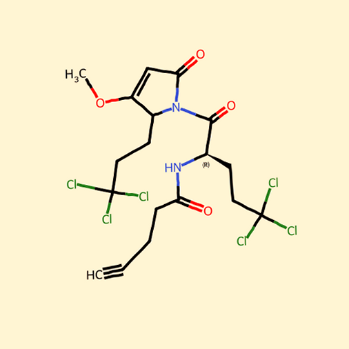 C#CCCC(=O)N[C@H](CCC(Cl)(Cl)Cl)C(=O)N1C(=O)C=C(OC)C1CCC(Cl)(Cl)Cl